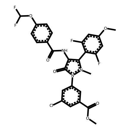 COC(=O)c1cc(Cl)cc(-n2c(=O)c(NC(=O)c3ccc(OC(F)F)cc3)c(-c3c(F)cc(OC)cc3F)n2C)c1